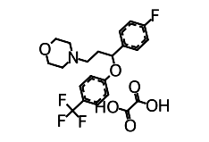 Fc1ccc(C(CCN2CCOCC2)Oc2ccc(C(F)(F)F)cc2)cc1.O=C(O)C(=O)O